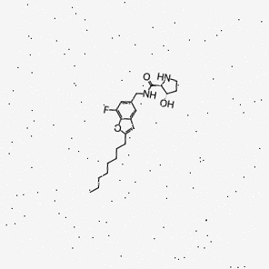 CCCCCCCCc1cc2cc(CNC(=O)[C@H]3NCC[C@@H]3O)cc(F)c2o1